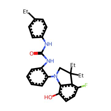 CCc1ccc(NC(=O)Nc2ccccc2N2CC(CC)(CC)c3c(F)ccc(O)c32)cc1